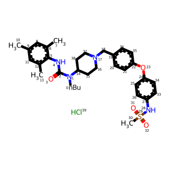 CCCCN(C(=O)Nc1c(C)cc(C)cc1C)C1CCN(Cc2ccc(Oc3ccc(NS(C)(=O)=O)cc3)cc2)CC1.Cl